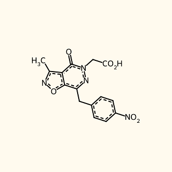 Cc1noc2c(Cc3ccc([N+](=O)[O-])cc3)nn(CC(=O)O)c(=O)c12